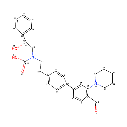 O=Cc1ccc(-c2ccc(CCN(C[C@H](O)c3ccccc3)C(=O)O)cc2)cc1N1CCCCC1